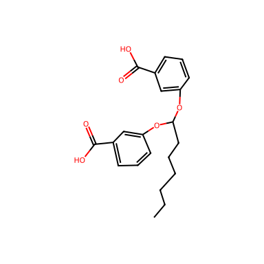 CCCCCCC(Oc1cccc(C(=O)O)c1)Oc1cccc(C(=O)O)c1